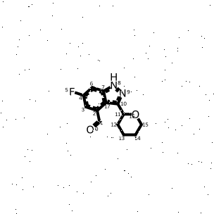 O=Cc1cc(F)cc2[nH]nc(C3CCCCO3)c12